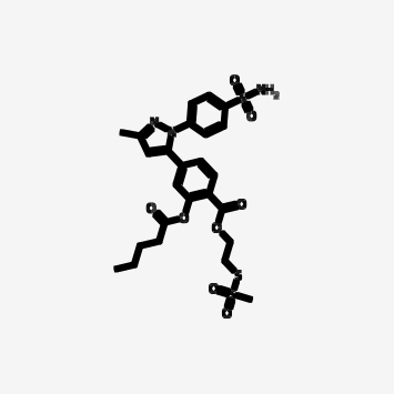 CCCCC(=O)Oc1cc(-c2cc(C)nn2-c2ccc(S(N)(=O)=O)cc2)ccc1C(=O)OCCSS(C)(=O)=O